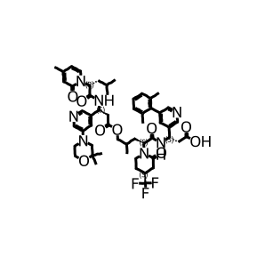 Cc1ccn([C@H](CC(C)C)C(=O)N[C@@H](CC(=O)OCC(C)C[C@@H](C(=O)N[C@@H](CC(=O)O)c2cncc(-c3c(C)cccc3C)c2)N2CC[C@H](C(F)(F)F)CC2=O)c2cncc(N3CCOC(C)(C)C3)c2)c(=O)c1